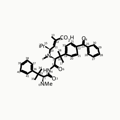 CN[C@H](C(=O)NC(=O)[C@@H](N(C)[C@H](/C=C(\C)C(=O)O)C(C)C)C(C)(C)c1ccc(C(=O)c2ccccc2)cc1)C(C)(C)c1ccccc1